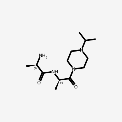 CC(C)N1CCN(C(=O)[C@@H](C)NC(=O)[C@@H](C)N)CC1